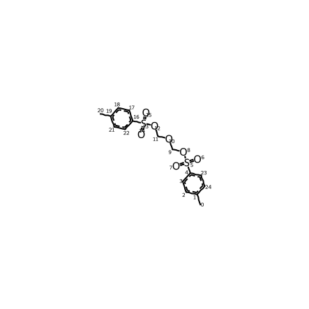 Cc1ccc(S(=O)(=O)OCOCOS(=O)(=O)c2ccc(C)cc2)cc1